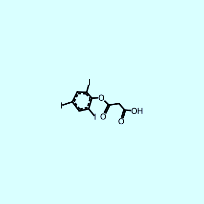 O=C(O)CC(=O)Oc1c(I)cc(I)cc1I